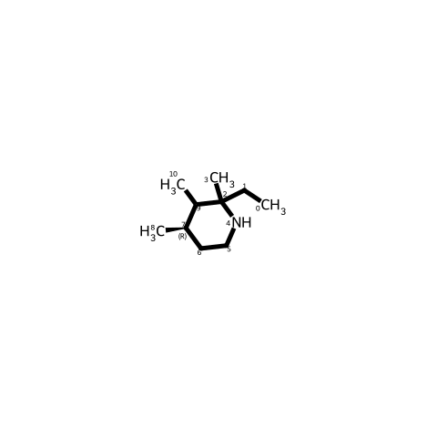 CCC1(C)NCC[C@@H](C)C1C